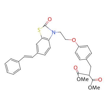 COC(=O)C(Cc1ccc(OCCn2c(=O)sc3cc(C=Cc4ccccc4)ccc32)cc1)C(=O)OC